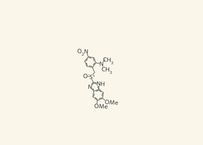 COc1cc2nc([S+]([O-])Cc3ccc([N+](=O)[O-])cc3N(C)C)[nH]c2cc1OC